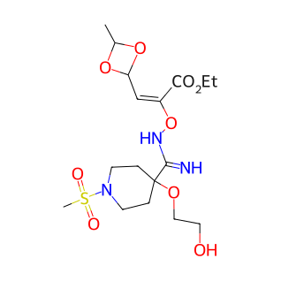 CCOC(=O)C(=CC1OC(C)O1)ONC(=N)C1(OCCO)CCN(S(C)(=O)=O)CC1